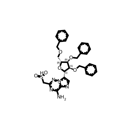 Nc1nc(C[SH](=O)=O)nn2c([C@@H]3O[C@H](COCc4ccccc4)[C@@H](OCc4ccccc4)[C@H]3OCc3ccccc3)cnc12